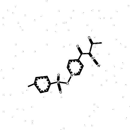 CC(=O)C(=[N+]=[N-])C(=O)c1cc[n+](OS(=O)(=O)c2ccc(C)cc2)cc1